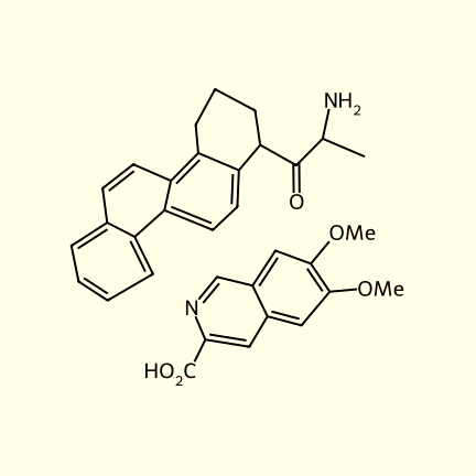 CC(N)C(=O)C1CCCc2c1ccc1c2ccc2ccccc21.COc1cc2cnc(C(=O)O)cc2cc1OC